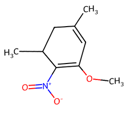 COC1=C([N+](=O)[O-])C(C)CC(C)=C1